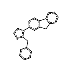 c1ccc(Cc2nccn2-c2ccc3c(c2)Cc2ccccc2-3)cc1